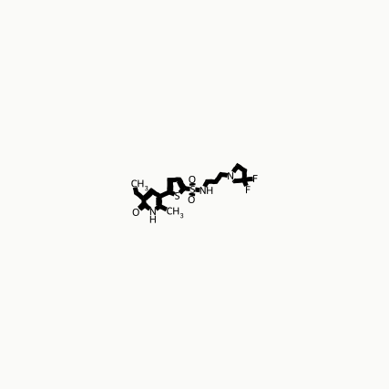 CCc1cc(-c2ccc(S(=O)(=O)NCCCN3CCC(F)(F)C3)s2)c(C)[nH]c1=O